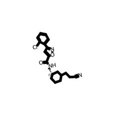 N#CCCC1CCC[C@H](CNC(=O)c2cc(-c3ccccc3Cl)no2)C1